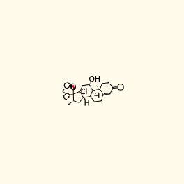 C[C@@H]1C[C@H]2[C@@H]3CCC4=CC(=O)C=C[C@]4(C)[C@@]3(Cl)[C@@H](O)C[C@]2(C)[C@]12OCOC21COCO1